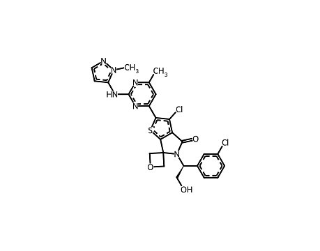 Cc1cc(-c2sc3c(c2Cl)C(=O)N([C@H](CO)c2cccc(Cl)c2)C32COC2)nc(Nc2ccnn2C)n1